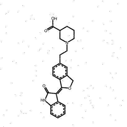 O=C1Nc2ccccc2/C1=C1\OCc2cc(CCN3CCCC(C(=O)O)C3)ccc21